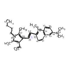 CCCCn1c(C)c(C=O)c(/C=C/c2ccc3cc(N(C)C)ccc3[n+]2C)c1C